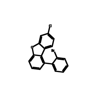 Clc1ccc2c(c1)oc1cccc(-c3ccccc3Br)c12